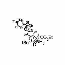 CCOC(=O)CC(N)(C(=O)OC(C)(C)C)c1ccc(OS(=O)(=O)c2ccc(C)cc2)cc1